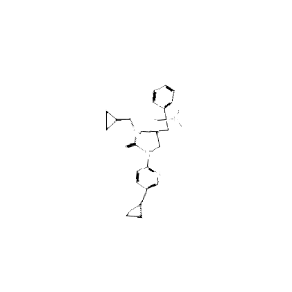 CN(C)[C@]1(c2ccccc2)C[C@@]2(CN(c3ccc(C4CC4)cn3)C(=O)N2CC2CC2)C1